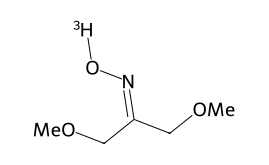 [3H]ON=C(COC)COC